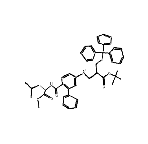 COC(=O)[C@H](CC(C)C)NC(=O)c1ccc(NCC(CSC(c2ccccc2)(c2ccccc2)c2ccccc2)C(=O)OC(C)(C)C)cc1-c1ccccc1